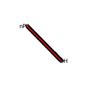 CCCOCCOCCOCCOCCOCCOCCOCCOCCOCCOCCOCCOCCOCCOCCOCCOCCOCCOCCOCCOCCOCCOCCOCCOCCOCCOCCOCCOCCOCCOCCOCCOCCOCCOCCOCCOCCOCCOCCOCCOCCOCCOCCOCCOCCO